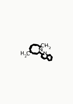 C=c1ccccc(=C)nc(-c2ccc3ccccc3n2)cc1